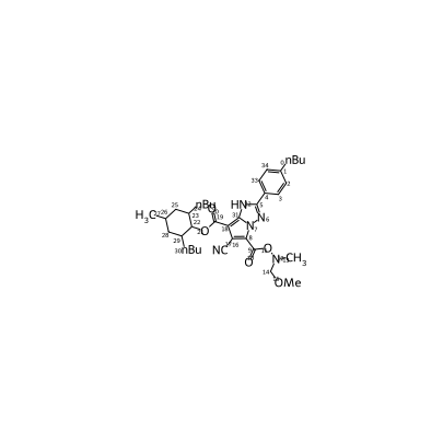 CCCCc1ccc(-c2nn3c(C(=O)ON(C)COC)c(C#N)c(C(=O)OC4C(CCCC)CC(C)CC4CCCC)c3[nH]2)cc1